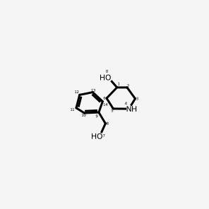 OC1CCNCC1.OCc1ccccc1